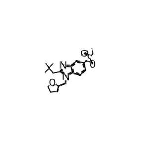 CCS(=O)(=O)c1ccc2c(c1)nc(CC(C)(C)C)n2CC1CCCO1